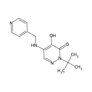 CC(C)(C)n1ncc(NCc2ccncc2)c(O)c1=O